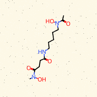 CC(=O)N(O)CCCCCNC(=O)CCC(=O)N(C)O